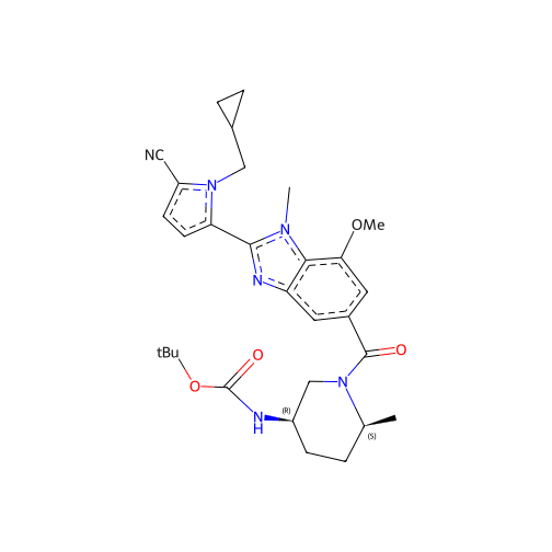 COc1cc(C(=O)N2C[C@H](NC(=O)OC(C)(C)C)CC[C@@H]2C)cc2nc(-c3ccc(C#N)n3CC3CC3)n(C)c12